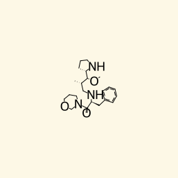 CO[C@@H]([C@@H]1CCCN1)[C@@H](C)CN[C@@H](Cc1ccccc1)C(=O)N1CCCOC1